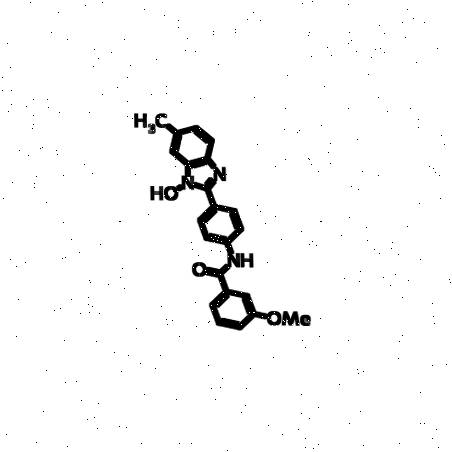 COc1cccc(C(=O)Nc2ccc(-c3nc4ccc(C)cc4n3O)cc2)c1